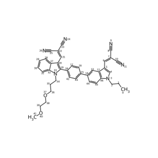 CCCn1cc(C=C(C#N)C#N)c2cc(-c3ccc(-c4c(C=C(C#N)C#N)c5ccccc5n4CCCOCCOC)cc3)ccc21